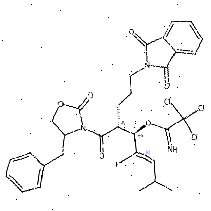 CC(C)/C=C(\F)[C@H](OC(=N)C(Cl)(Cl)Cl)[C@@H](CCCN1C(=O)c2ccccc2C1=O)C(=O)N1C(=O)OCC1Cc1ccccc1